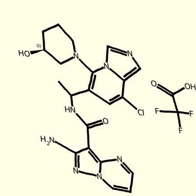 CC(NC(=O)c1c(N)nn2cccnc12)c1cc(Cl)c2cncn2c1N1CCC[C@H](O)C1.O=C(O)C(F)(F)F